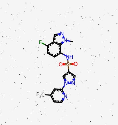 Cn1ncc2c(F)ccc(NS(=O)(=O)c3cnn(-c4cc(C(F)(F)F)ccn4)c3)c21